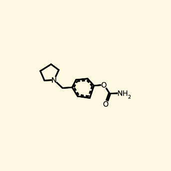 NC(=O)Oc1ccc(CN2CCCC2)cc1